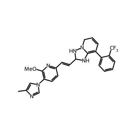 COc1nc(C=CC2NC3=C(c4ccccc4C(F)(F)F)C=CCN3N2)ccc1-n1cnc(C)c1